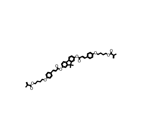 C=C(C)C(=O)OCCCCOc1ccc(C=CC(=O)Oc2ccc3c(c2)C(C)(C)c2cc(OC(=O)C=Cc4ccc(OCCCCOC(=O)C(=C)C)cc4)ccc2-3)cc1